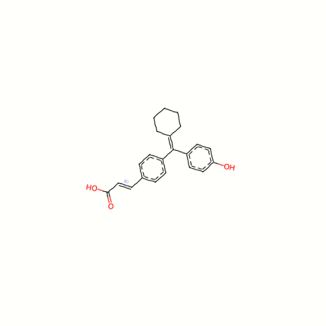 O=C(O)/C=C/c1ccc(C(=C2CCCCC2)c2ccc(O)cc2)cc1